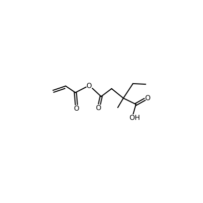 C=CC(=O)OC(=O)CC(C)(CC)C(=O)O